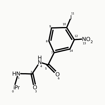 CC(C)NC(=O)NC(=O)c1ccc(I)c([N+](=O)[O-])c1